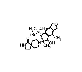 Cc1c2c(cc(O[Si](C)(C)C(C)(C)C)c1C(O)C(C)(C)N1CCC3(CCNC3=O)CC1)COC2